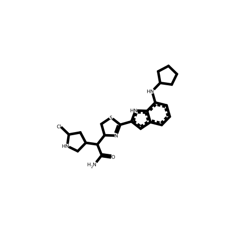 NC(=O)C(C1CNC(Cl)C1)C1CSC(c2cc3cccc(NC4CCCC4)c3[nH]2)=N1